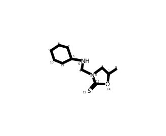 CC1CN(CNC2CCCCC2)C(=S)O1